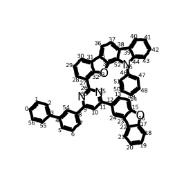 c1ccc(-c2cccc(-c3cc(-c4ccc5oc6ccccc6c5c4)nc(-c4cccc5c4oc4c5ccc5c6ccccc6n(-c6ccccc6)c54)n3)c2)cc1